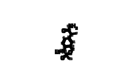 CCN(c1ccc(C(C)C(N)=O)cc1F)S(C)(=O)=O